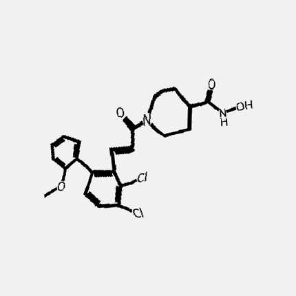 COc1ccccc1-c1c[c]c(Cl)c(Cl)c1/C=C/C(=O)N1CCC(C(=O)NO)CC1